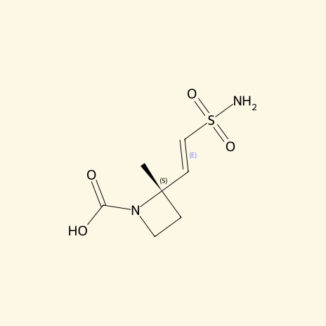 C[C@@]1(/C=C/S(N)(=O)=O)CCN1C(=O)O